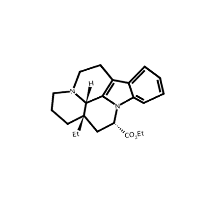 CCOC(=O)[C@@H]1C[C@]2(CC)CCCN3CCc4c(n1c1ccccc41)[C@@H]32